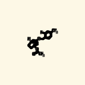 O=C(O[C@]12CC[C@@H](C[C@@H](OCc3ccc(C(F)(F)F)cc3F)C1)N2)C(F)(F)F